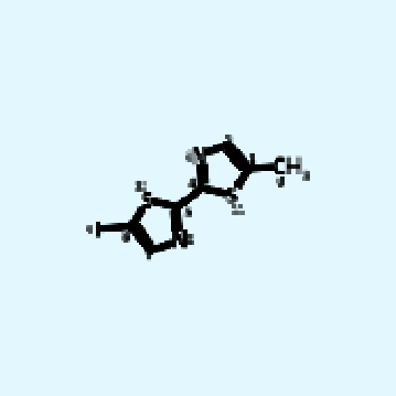 Cc1cnc(-c2ncc(I)s2)s1